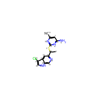 CC(Sc1nc(N)cc(C#N)n1)c1cc2c(Cl)c[nH]c2cn1